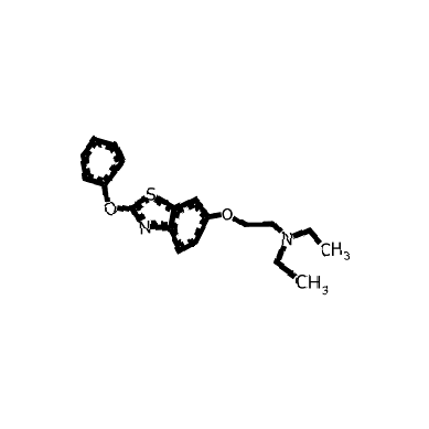 CCN(CC)CCOc1ccc2nc(Oc3ccccc3)sc2c1